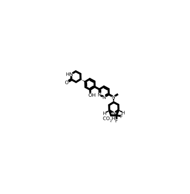 CN(c1ccc(-c2ccc([C@H]3CCNC(=O)C3)cc2O)nn1)[C@@H]1C[C@H]2CC(F)(F)[C@@H](C1)N2C(=O)O